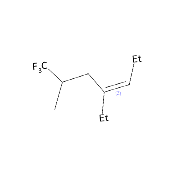 CC/C=C(/CC)CC(C)C(F)(F)F